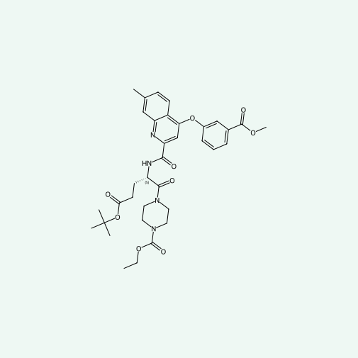 CCOC(=O)N1CCN(C(=O)[C@H](CCC(=O)OC(C)(C)C)NC(=O)c2cc(Oc3cccc(C(=O)OC)c3)c3ccc(C)cc3n2)CC1